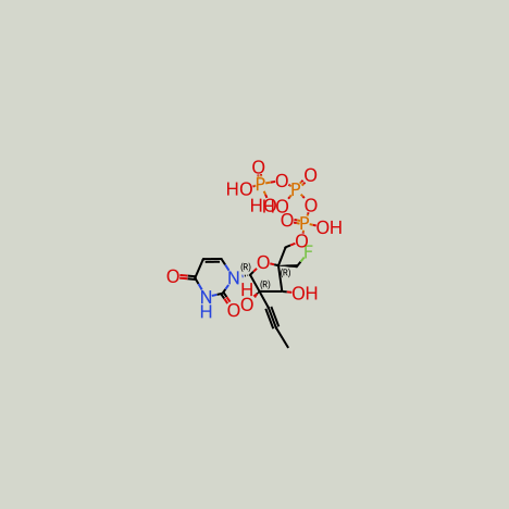 CC#C[C@@]1(O)C(O)[C@@](CF)(COP(=O)(O)OP(=O)(O)OP(=O)(O)O)O[C@H]1n1ccc(=O)[nH]c1=O